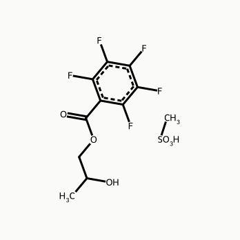 CC(O)COC(=O)c1c(F)c(F)c(F)c(F)c1F.CS(=O)(=O)O